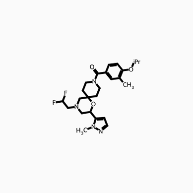 Cc1cc(C(=O)N2CCC3(CC2)CN(CC(F)F)CC(c2ccnn2C)O3)ccc1OC(C)C